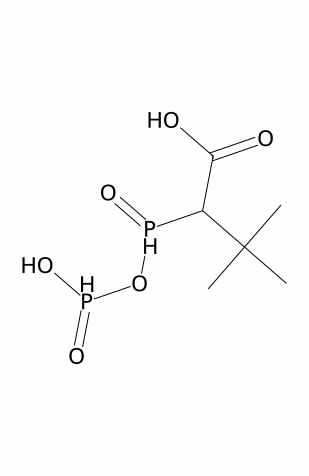 CC(C)(C)C(C(=O)O)[PH](=O)O[PH](=O)O